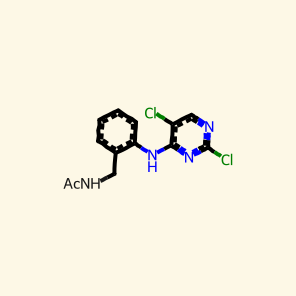 CC(=O)NCc1ccccc1Nc1nc(Cl)ncc1Cl